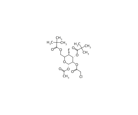 CC(=O)O[C@@H]1OC(COC(=O)C(C)(C)C)[C@@H](F)[C@H](OC(=O)C(C)(C)C)C1OC(=O)CCl